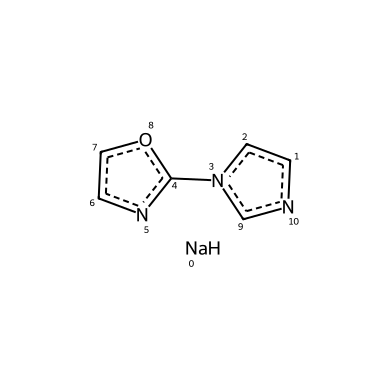 [NaH].c1cn(-c2ncco2)cn1